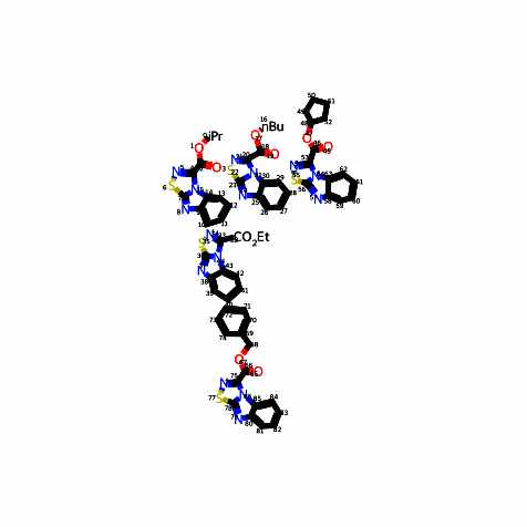 CC(C)OC(=O)c1nsc2nc3ccccc3n12.CCCCOC(=O)c1nsc2nc3ccccc3n12.CCOC(=O)c1nsc2nc3ccccc3n12.O=C(OC1CCCC1)c1nsc2nc3ccccc3n12.O=C(OCc1ccccc1)c1nsc2nc3ccccc3n12